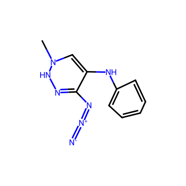 CN1C=C(Nc2ccccc2)C(N=[N+]=[N-])=NN1